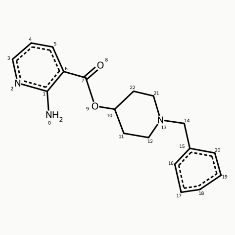 Nc1ncccc1C(=O)OC1CCN(Cc2ccccc2)CC1